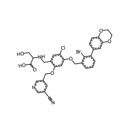 N#Cc1cncc(COc2cc(OCc3cccc(-c4ccc5c(c4)OCCO5)c3Br)c(Cl)cc2CNC(CO)C(=O)O)c1